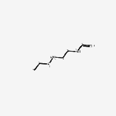 CCSNCCNC=O